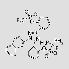 O=S(=O)(Oc1ccccc1-c1nc(-c2ccccc2OS(=O)(=O)C(F)(P)P)n(-c2ccc3ccccc3c2)n1)C(F)(F)F